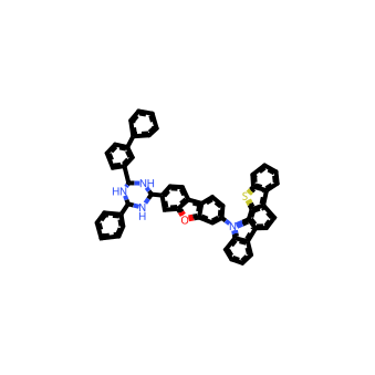 c1ccc(-c2cccc(C3NC(c4ccccc4)NC(c4ccc5c(c4)oc4cc(-n6c7ccccc7c7ccc8c9ccccc9sc8c76)ccc45)N3)c2)cc1